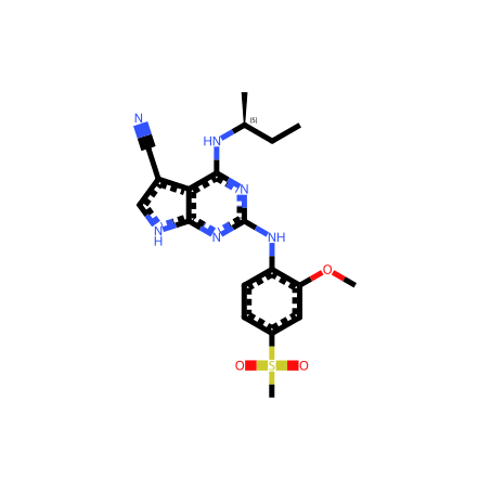 CC[C@H](C)Nc1nc(Nc2ccc(S(C)(=O)=O)cc2OC)nc2[nH]cc(C#N)c12